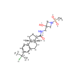 CS(=O)(=O)N1CC(O)(CNC(=O)[C@@H]2CC[C@H]3c4ccc(C(F)(C(F)(F)F)C(F)(F)F)cc4CC[C@@H]23)C1